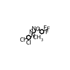 CN(c1ccc(Cl)c(Cl)c1)c1cc(Oc2cccc(C(F)(F)F)c2)ncn1